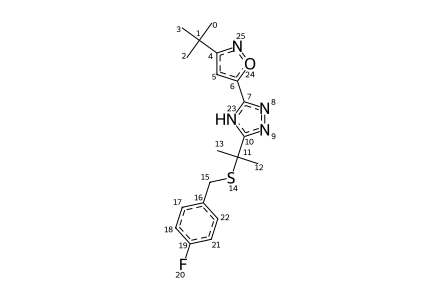 CC(C)(C)c1cc(-c2nnc(C(C)(C)SCc3ccc(F)cc3)[nH]2)on1